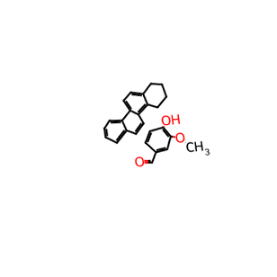 COc1cc(C=O)ccc1O.c1ccc2c(c1)ccc1c3c(ccc12)CCCC3